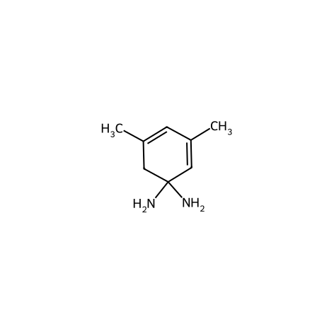 CC1=CC(N)(N)CC(C)=C1